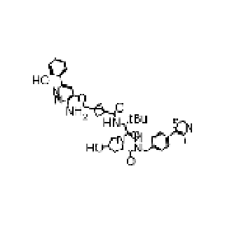 Cc1ncsc1-c1ccc(CNC(=O)[C@@H]2C[C@@H](O)CN2C(=O)[C@@H](NC(=O)C23CC(COc4cc(-c5ccccc5O)nnc4N)(C2)C3)C(C)(C)C)cc1